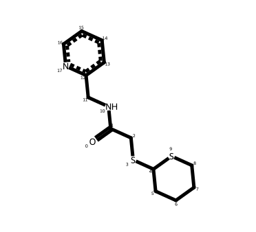 O=C(CSC1CCCCS1)NCc1ccccn1